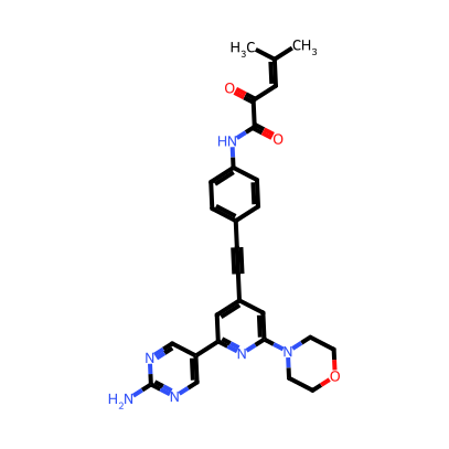 CC(C)=CC(=O)C(=O)Nc1ccc(C#Cc2cc(-c3cnc(N)nc3)nc(N3CCOCC3)c2)cc1